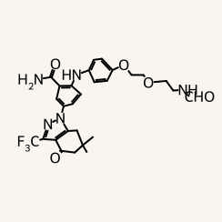 CC1(C)CC(=O)c2c(C(F)(F)F)nn(-c3ccc(Nc4ccc(OCCOCCNC=O)cc4)c(C(N)=O)c3)c2C1